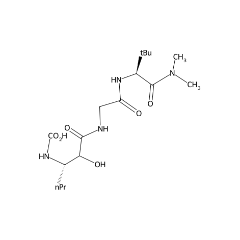 CCC[C@H](NC(=O)O)C(O)C(=O)NCC(=O)N[C@H](C(=O)N(C)C)C(C)(C)C